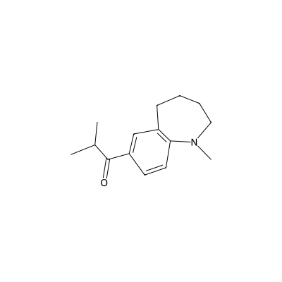 CC(C)C(=O)c1ccc2c(c1)CCCCN2C